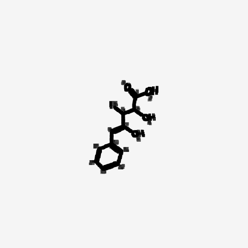 O=C(O)C(O)C(F)C(O)=Cc1ccccc1